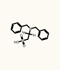 [2H]C([2H])(CS(=O)(=O)O)N(Cc1ccccc1)Cc1ccccc1